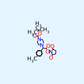 Cc1ccc(C(C(=O)ON2C(=O)CCC2=O)N2CCN(C(=O)OC(C)(C)C)CC2)cc1